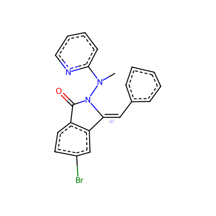 CN(c1ccccn1)N1C(=O)c2ccc(Br)cc2/C1=C/c1ccccc1